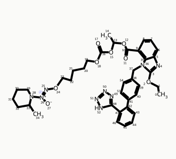 CCOc1nc2cccc(C(=O)OC(C)OC(=O)OCCCCCO/N=[N+](\[O-])N3CCCCC3C)c2n1Cc1ccc(-c2ccccc2-c2nnn[nH]2)cc1